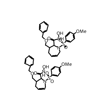 COc1ccc(S(=O)(=O)N2CC=CCC(COCc3ccccc3)C2C(=O)NO)cc1.COc1ccc(S(=O)(=O)N2CC=CCC(COCc3ccccc3)C2C(=O)NO)cc1